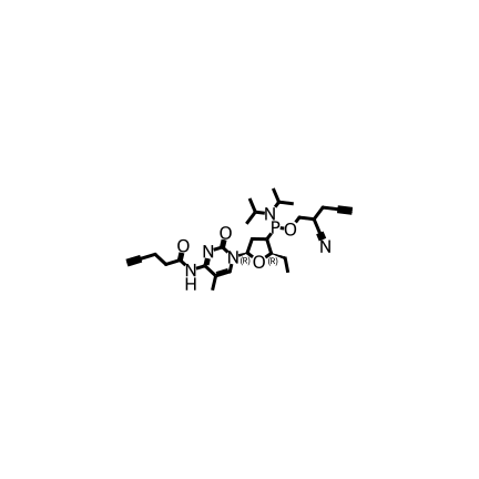 C#CCCC(=O)Nc1nc(=O)n([C@H]2CC(P(OCC(C#N)CC#C)N(C(C)C)C(C)C)[C@@H](CC)O2)cc1C